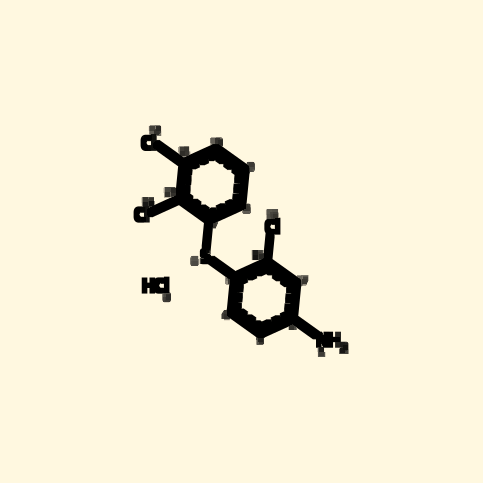 Cl.Nc1ccc(Sc2cccc(Cl)c2Cl)c(Cl)c1